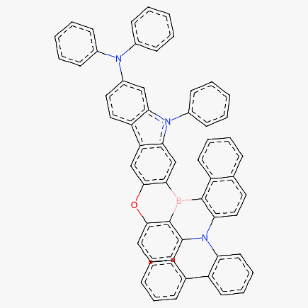 c1ccc(-c2ccccc2N2c3cccc4c3B(c3cc5c(cc3O4)c3ccc(N(c4ccccc4)c4ccccc4)cc3n5-c3ccccc3)c3c2ccc2ccccc32)cc1